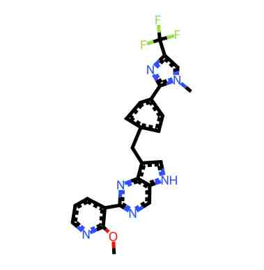 COc1ncccc1-c1ncc2[nH]cc(Cc3ccc(-c4nc(C(F)(F)F)cn4C)cc3)c2n1